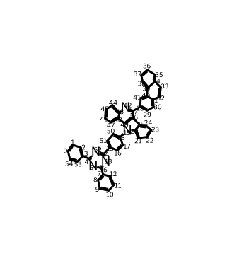 c1ccc(-c2nc(-c3ccccc3)nc(-c3ccc(-n4c5ccccc5c5c(-c6ccc7ccc8ccccc8c7c6)nc6ccccc6c54)cc3)n2)cc1